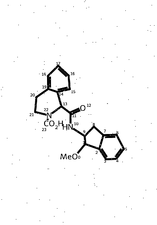 COC1c2ccccc2CC1NC(=O)C1c2ccccc2CCN1C(=O)O